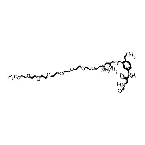 CCc1ccc(NC(=O)CNC=O)cc1COC/C(N)=C/N(N)CCOCCOCCOCCOCCOCCOCCOCCOC